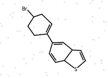 BrC1CC=C(C2=CC3C=CSC3C=C2)CC1